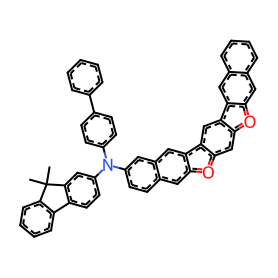 CC1(C)c2ccccc2-c2ccc(N(c3ccc(-c4ccccc4)cc3)c3ccc4cc5oc6cc7oc8cc9ccccc9cc8c7cc6c5cc4c3)cc21